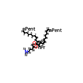 CCCCC/C=C\CCCC/C=C\CC(CCC)C1(C(C/C=C\CCCC/C=C\CCCCC)CCC)OCC(CCCN(C)C)O1